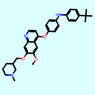 COc1cc2c(Oc3ccc(Nc4ccc(C(C)(C)C)cc4)cc3)ccnc2cc1OCC1CCCN(C)C1